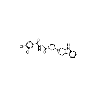 O=C(NCC(=O)N1CCC(N2CCC3c4ccccc4NC3C2)C1)c1ccc(Cl)c(Cl)c1